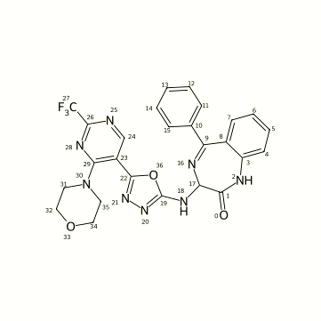 O=C1Nc2ccccc2C(c2ccccc2)=NC1Nc1nnc(-c2cnc(C(F)(F)F)nc2N2CCOCC2)o1